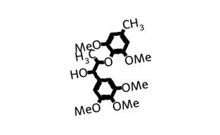 COc1cc(C(O)C(C)Oc2c(OC)cc(C)cc2OC)cc(OC)c1OC